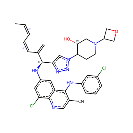 C=C(/C=C\C=C/C)[C@H](Nc1cc(Cl)c2ncc(C#N)c(Nc3cccc(Cl)c3)c2c1)c1cn(C2CCN(C3COC3)C[C@H]2O)nn1